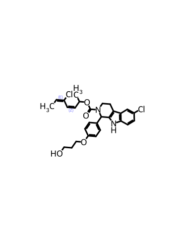 C/C=C(Cl)\C=C/C(C)OC(=O)N1CCc2c([nH]c3ccc(Cl)cc23)C1c1ccc(OCCCO)cc1